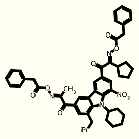 C/C(=N\OC(=O)Cc1ccccc1)C(=O)c1cc(CC(C)C)c2c(c1)c1cc(C(=O)/C(=N/OC(=O)Cc3ccccc3)C3CCCC3)cc([N+](=O)[O-])c1n2C1CCCCC1